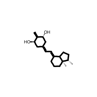 C=C1[C@H](O)CC(=C/C=C2\CCC[C@@]3(C)C2CC[C@@H]3C)C[C@H]1O